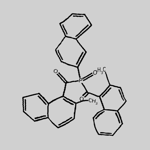 Cc1ccc2ccccc2c1C(=O)P(=O)(C(=O)c1c(C)ccc2ccccc12)c1ccc2ccccc2c1